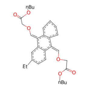 CCCCOC(=O)COC=c1c2ccccc2c(=COCC(=O)OCCCC)c2cc(CC)ccc12